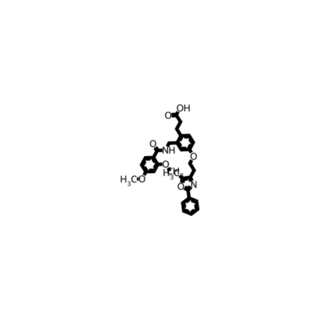 COc1ccc(C(=O)NCc2cc(OCCc3nc(-c4ccccc4)oc3C)ccc2CCC(=O)O)c(OC)c1